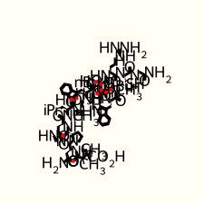 CCCC[C@@H](C(=O)N(C)[C@@H](CCCC)C(=O)N[C@@H](CCCNC(=N)N)C(=O)N[C@@H](CS)C(=O)NCC(N)=O)N(C)C(=O)[C@H](Cc1c[nH]c2ccccc12)NC(=O)[C@H](CO)NC(=O)[C@H](Cc1c[nH]c2ccccc12)NC(=O)CN(C)C(=O)[C@H](CC(C)C)NC(=O)[C@H](Cc1cnc[nH]1)NC(=O)[C@@H]1CCCN1C(=O)[C@H](CC(N)=O)NC(=O)[C@H](C)N(C)C(=O)O